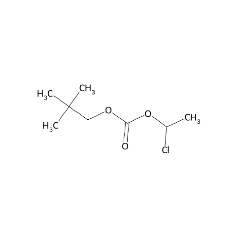 CC(Cl)OC(=O)OCC(C)(C)C